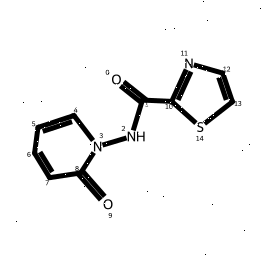 O=C(Nn1ccccc1=O)c1nccs1